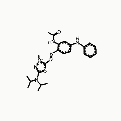 CC(=O)Nc1cc(Nc2ccccc2)ccc1N=Nc1sc(N(C(C)C)C(C)C)n[n+]1C